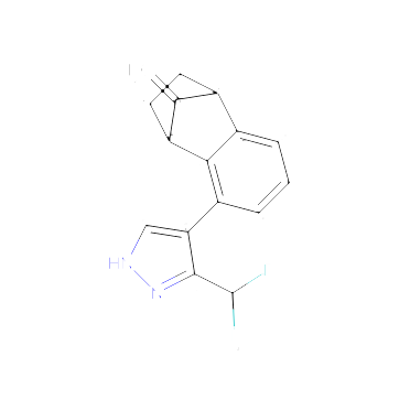 C=C1C2CCC1c1c(-c3c[nH]nc3C(F)F)cccc12